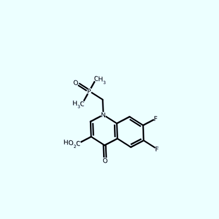 CP(C)(=O)Cn1cc(C(=O)O)c(=O)c2cc(F)c(F)cc21